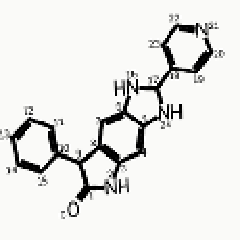 O=C1Nc2cc3c(cc2C1c1ccccc1)NC(c1ccncc1)N3